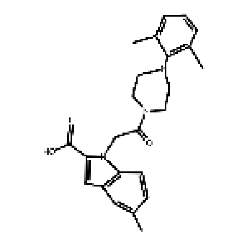 Cc1ccc2c(c1)cc(C(=O)O)n2CC(=O)N1CCN(c2c(C)cccc2C)CC1